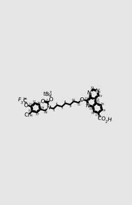 CC(C)(C)OC(=O)N(CCCCCCCOc1nc2cc(C(=O)O)ccc2c2cncnc12)Cc1ccc(OC(F)(F)F)c(Cl)c1